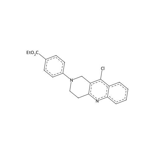 CCOC(=O)c1ccc(N2CCc3nc4ccccc4c(Cl)c3C2)cc1